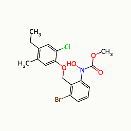 CCc1cc(Cl)c(OCc2c(Br)cccc2N(O)C(=O)OC)cc1C